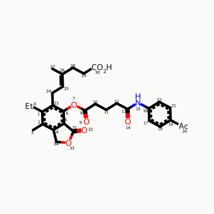 CCc1c(C)c2c(c(OC(=O)CCCC(=O)Nc3ccc(C(C)=O)cc3)c1C/C=C(\C)CCC(=O)O)C(=O)OC2